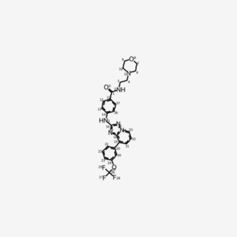 O=C(NCCN1CCOCC1)c1ccc(Nc2nc3c(-c4cccc(OC(F)(F)F)c4)cccn3n2)cc1